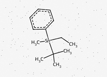 C[CH2][Sn]([CH3])([c]1ccccc1)[C](C)(C)C